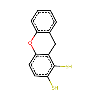 Sc1ccc2c(c1S)Cc1ccccc1O2